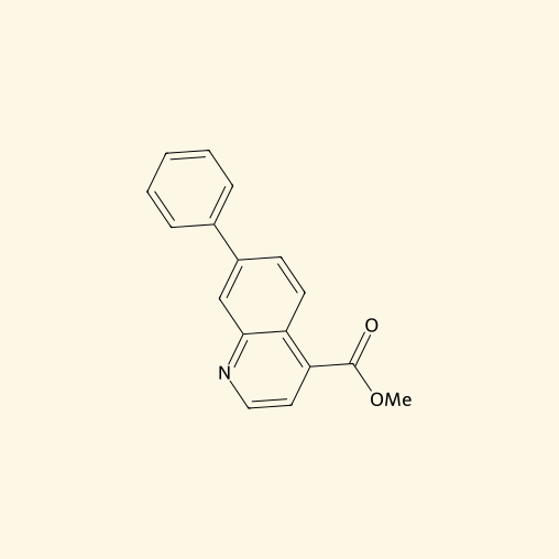 COC(=O)c1ccnc2cc(-c3ccccc3)ccc12